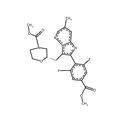 COC(=O)c1cc(F)c(-c2nc3cc(C)cnn3c2C[C@H]2CN(C(=O)OC)CCO2)c(F)c1